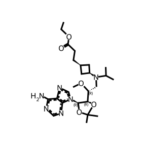 CCOC(=O)CC[C@H]1C[C@@H](N(C[C@@H](OC)[C@H]2OC(C)(C)O[C@H]2n2cnc3c(N)ncnc32)C(C)C)C1